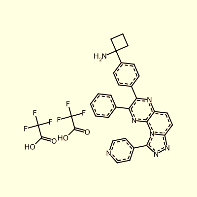 NC1(c2ccc(-c3nc4ccc5nnc(-c6ccncc6)n5c4nc3-c3ccccc3)cc2)CCC1.O=C(O)C(F)(F)F.O=C(O)C(F)(F)F